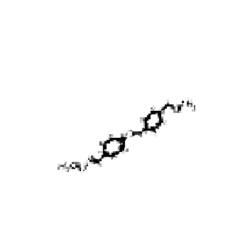 COCc1ccc(COc2ccc([C]=NOC)cc2)cc1